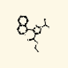 CCOC(=O)c1cn(C(F)F)nc1-c1nccc2ccccc12